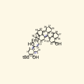 C/C=c1/c(O)c(C(C)(C)C)cc/c1=C(O)/C=C\CC1(C(C)(C)CC)C=C/C(=C(/c2ccccc2)c2ccc(O)c3ccccc23)c2ccccc21